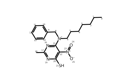 CCCCCCCN(Cc1ccccc1)c1nc(C)nc(S)c1[N+](=O)[O-]